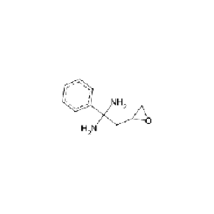 NC(N)(CC1CO1)c1ccccc1